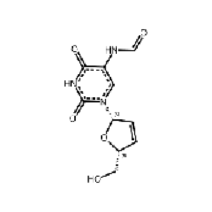 O=CNc1cn([C@@H]2C=C[C@H](CO)O2)c(=O)[nH]c1=O